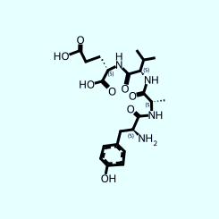 CC(C)[C@H](NC(=O)[C@H](C)NC(=O)[C@@H](N)Cc1ccc(O)cc1)C(=O)N[C@@H](CCC(=O)O)C(=O)O